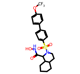 O=C(NO)C1C2CCCCC2CCN1S(=O)(=O)c1ccc(-c2ccc(OC(F)(F)F)cc2)cc1